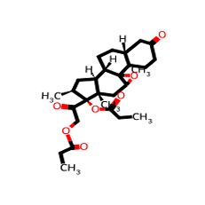 CCC(=O)OCC(=O)[C@]1(OC(=O)CC)[C@@H](C)C[C@H]2[C@@H]3CC[C@@H]4CC(=O)CC[C@]4(C)C34OC4C[C@@]21C